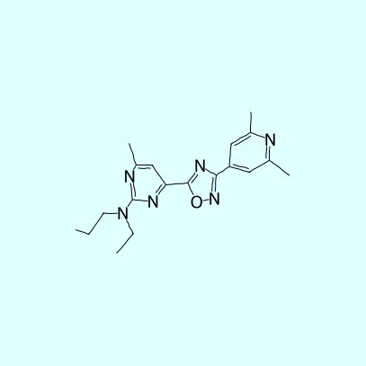 CCCN(CC)c1nc(C)cc(-c2nc(-c3cc(C)nc(C)c3)no2)n1